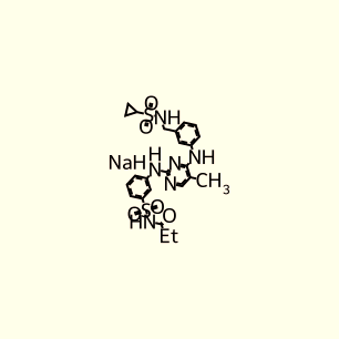 CCC(=O)NS(=O)(=O)c1cccc(Nc2ncc(C)c(Nc3cccc(CNS(=O)(=O)C4CC4)c3)n2)c1.[NaH]